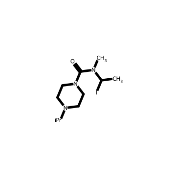 CC(C)N1CCN(C(=O)N(C)C(C)I)CC1